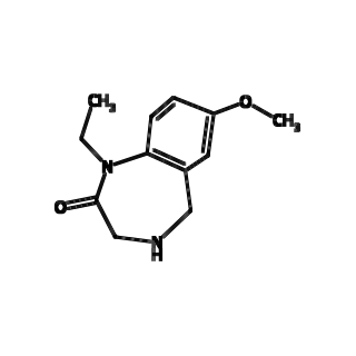 CCN1C(=O)CNCc2cc(OC)ccc21